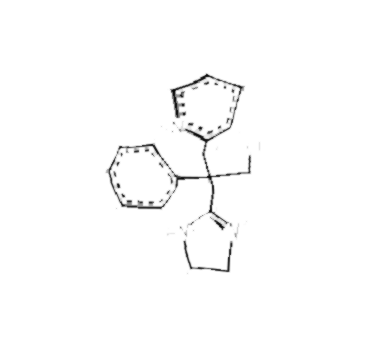 CCC(C1=NCCN1)(c1ccccc1)c1ccccn1